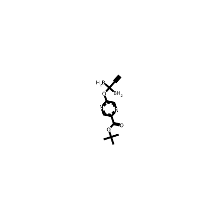 BC(B)(C#C)Oc1cnc(C(=O)OC(C)(C)C)cn1